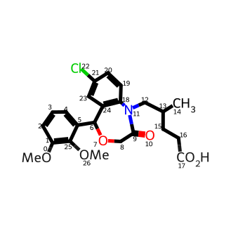 COc1cccc(C2OCC(=O)N(CC(C)CCC(=O)O)c3ccc(Cl)cc32)c1OC